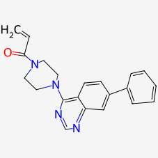 C=CC(=O)N1CCN(c2ncnc3cc(-c4ccccc4)ccc23)CC1